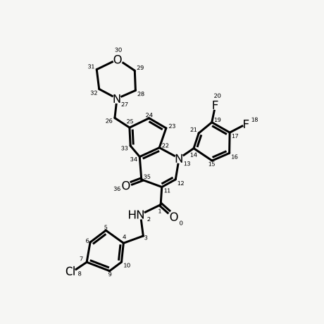 O=C(NCc1ccc(Cl)cc1)c1cn(-c2ccc(F)c(F)c2)c2ccc(CN3CCOCC3)cc2c1=O